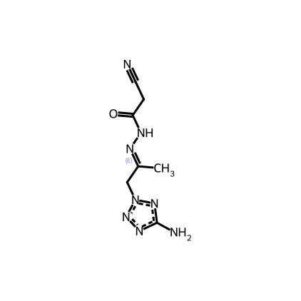 C/C(Cn1nnc(N)n1)=N\NC(=O)CC#N